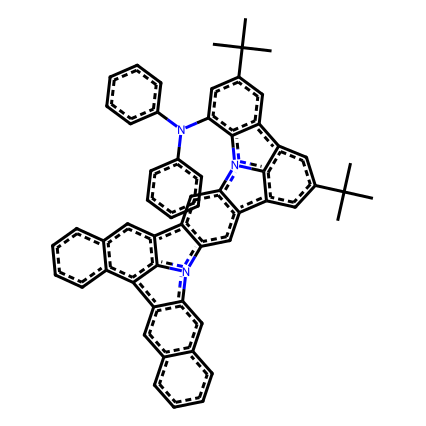 CC(C)(C)c1cc(N(c2ccccc2)c2ccccc2)c2c(c1)c1cc(C(C)(C)C)cc3c4cc5c(cc4n2c31)c1cc2ccccc2c2c3cc4ccccc4cc3n5c12